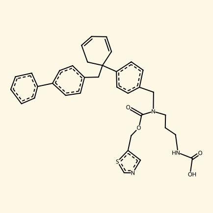 O=C(O)NCCCN(Cc1ccc(C2(Cc3ccc(-c4ccccc4)cc3)C=CC=CC2)cc1)C(=O)OCc1cncs1